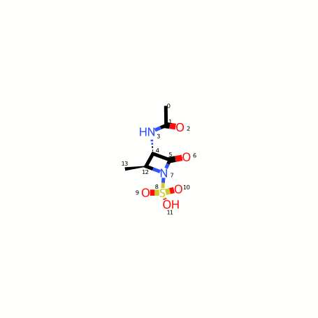 CC(=O)N[C@@H]1C(=O)N(S(=O)(=O)O)[C@H]1C